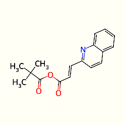 CC(C)(C)C(=O)OC(=O)/C=C/c1ccc2ccccc2n1